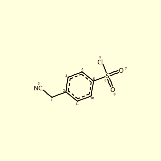 N#CCc1ccc(S(=O)(=O)Cl)cc1